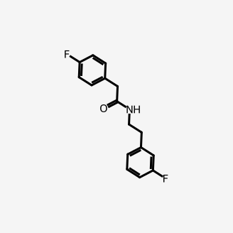 O=C(Cc1ccc(F)cc1)NCCc1cccc(F)c1